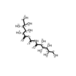 O=C(NC(=S)SC(=O)[C@H](O)[C@@H](O)[C@H](O)[C@H](O)CO)[C@H](O)[C@@H](O)[C@H](O)[C@H](O)CO